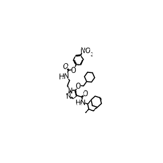 CC1CC2CCCC(C2)C1NC(=O)c1cnn(CCNC(=O)Oc2ccc([N+](=O)[O-])cc2)c1OCC1CCCCC1